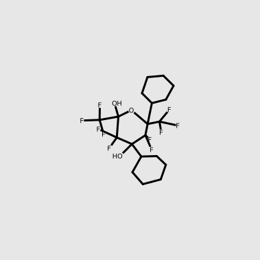 OC1(C(F)(F)F)OC(C2CCCCC2)(C(F)(F)F)C(F)(F)C(O)(C2CCCCC2)C1(F)F